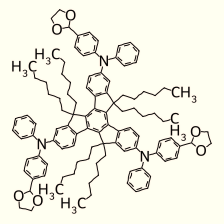 CCCCCCC1(CCCCCC)c2cc(N(c3ccccc3)c3ccc(C4OCCO4)cc3)ccc2-c2c1c1c(c3c2C(CCCCCC)(CCCCCC)c2cc(N(c4ccccc4)c4ccc(C5OCCO5)cc4)ccc2-3)C(CCCCCC)(CCCCCC)c2cc(N(c3ccccc3)c3ccc(C4OCCO4)cc3)ccc2-1